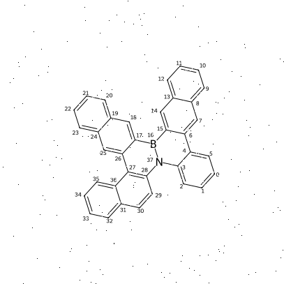 c1ccc2c(c1)-c1cc3ccccc3cc1B1c3cc4ccccc4cc3-c3c(ccc4ccccc34)N12